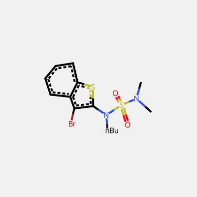 CCCCN(c1sc2ccccc2c1Br)S(=O)(=O)N(C)C